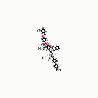 CC(C)c1ccccc1CN1Cc2cc3c(cc2CC1C(=O)NC(Cc1ccc(-c2ccc(C#N)cc2)cc1)C(=O)O)N(C)C(=O)C(c1ccc(OCc2ccc(Cl)c(Cl)c2)cc1)O3